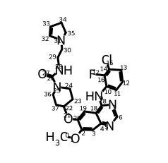 COc1cc2ncnc(Nc3cccc(Cl)c3F)c2cc1OC1CCN(C(=O)NCCN2C=CCC2)CC1